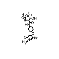 CC(O)C(NC(=O)O)C(=O)N[C@H]1CC[C@H](Oc2cc(=O)n(C)cc2Br)CC1